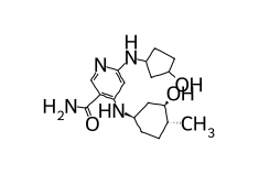 C[C@@H]1CC[C@@H](Nc2cc(NC3CCC(O)C3)ncc2C(N)=O)C[C@H]1O